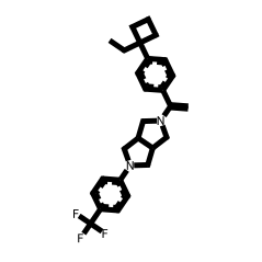 C=C(c1ccc(C2(CC)CCC2)cc1)N1CC2CN(c3ccc(C(F)(F)F)cc3)CC2C1